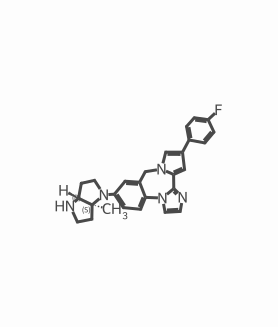 C[C@]12CCN[C@@H]1CCN2c1ccc2c(c1)Cn1cc(-c3ccc(F)cc3)cc1-c1nccn1-2